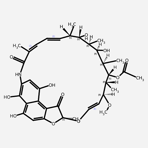 CO[C@H]1/C=C/O[C@@]2(C)Oc3cc(O)c4c(O)c(cc(O)c4c3C2=O)NC(=O)/C(C)=C\C=C\[C@H](C)[C@H](O)[C@@H](C)[C@@H](O)[C@@H](C)[C@H](OC(C)=O)[C@@H]1C